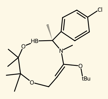 CN1/C(OC(C)(C)C)=C\COC(C)(C)C(C)(C)OB[C@@]1(C)c1ccc(Cl)cc1